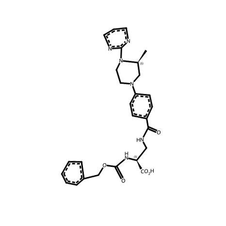 C[C@H]1CN(c2ccc(C(=O)NC[C@H](NC(=O)OCc3ccccc3)C(=O)O)cc2)CCN1c1ncccn1